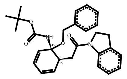 CC(C)(C)OC(=O)N[C@]1(OCc2ccccc2)C=CC=C[C@@H]1CC(=O)N1CCc2ccccc21